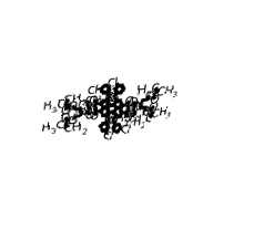 C=C(C)C(=O)OCCN(CCOC(=O)C(=C)C)C(=O)C(C(C)C)N1C(=O)c2cc(Oc3cccc(Cl)c3)c3c4c(Oc5cccc(Cl)c5)cc5c6c(cc(Oc7cccc(Cl)c7)c(c7c(Oc8cccc(Cl)c8)cc(c2c37)C1=O)c64)C(=O)N(C(C(=O)N(CCOC(=O)C(=C)C)CCOC(=O)C(=C)C)C(C)C)C5=O